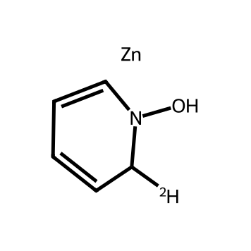 [2H]C1C=CC=CN1O.[Zn]